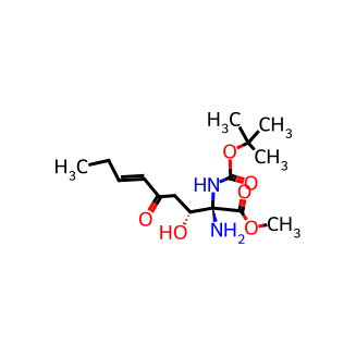 CCC=CC(=O)C[C@@H](O)[C@](N)(NC(=O)OC(C)(C)C)C(=O)OC